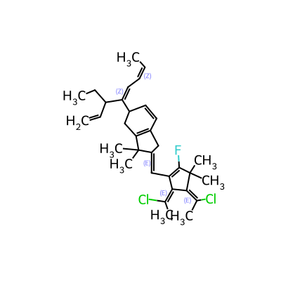 C=CC(CC)/C(=C/C=C\C)C1C=CC2=C(C1)C(C)(C)/C(=C/C1=C(F)C(C)(C)C(=C(/C)Cl)/C1=C(\C)Cl)C2